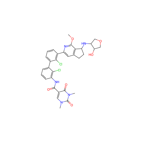 COc1nc(-c2cccc(-c3cccc(NC(=O)c4cn(C)c(=O)n(C)c4=O)c3Cl)c2Cl)cc2c1C(NC1COCC1O)CC2